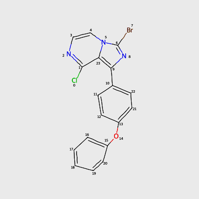 Clc1nccn2c(Br)nc(-c3ccc(Oc4ccccc4)cc3)c12